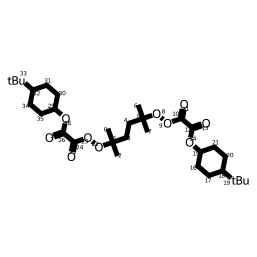 CC(C)(CCC(C)(C)OOC(=O)C(=O)OC1CCC(C(C)(C)C)CC1)OOC(=O)C(=O)OC1CCC(C(C)(C)C)CC1